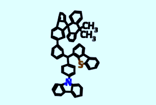 CC1(C)c2ccccc2C2(c3ccccc3-c3ccc(-c4cccc(C(c5ccc(-n6c7c#cccc7c7ccccc76)cc5)c5cccc6c5sc5ccccc56)c4)cc32)c2ccccc21